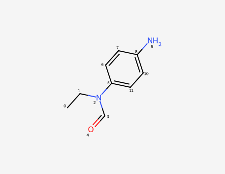 CCN(C=O)c1ccc(N)cc1